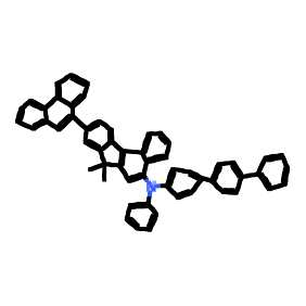 CC1(C)c2cc(-c3cc4ccccc4c4ccccc34)ccc2-c2c1cc(N(c1ccccc1)c1ccc(-c3ccc(-c4ccccc4)cc3)cc1)c1ccccc21